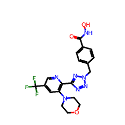 O=C(NO)c1ccc(Cn2nnc(-c3ncc(C(F)(F)F)cc3N3CCOCC3)n2)cc1